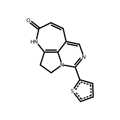 O=C1C=CC2=CN=C(c3cccs3)N3CCC(=C23)N1